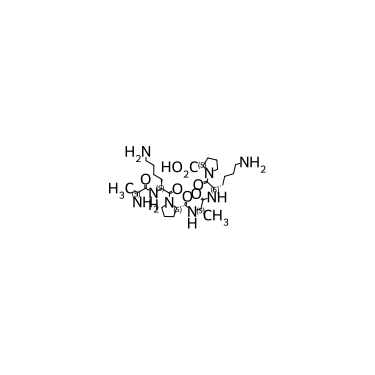 C[C@H](N)C(=O)N[C@@H](CCCCN)C(=O)N1CCC[C@H]1C(=O)N[C@@H](C)C(=O)N[C@@H](CCCCN)C(=O)N1CCC[C@H]1C(=O)O